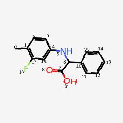 Cc1ccc(NC(C(=O)O)c2ccccc2)cc1F